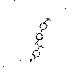 CC(C)(C)C1=CCC(C(=O)Oc2ccc(-c3ccc(C(C)(C)C)cc3)nc2)CC1